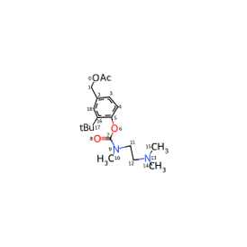 CC(=O)OCc1ccc(OC(=O)N(C)CCN(C)C)c(C(C)(C)C)c1